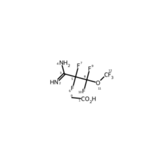 CC(=O)O.N=C(N)C(F)(F)C(F)(F)OC(F)(F)F